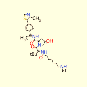 CCNCCCCCCC(=O)N[C@H](C(=O)N1C[C@H](O)C[C@H]1C(=O)N[C@@H](C)c1ccc(-c2scnc2C)cc1)C(C)(C)C